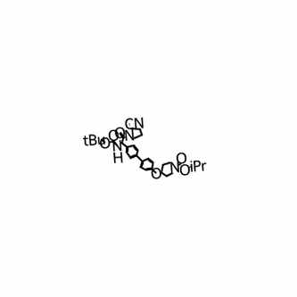 CC(C)OC(=O)N1CCC(Oc2ccc(-c3ccc([C@H](NC(=O)OC(C)(C)C)C(=O)N4CCC[C@H]4C#N)cc3)cc2)CC1